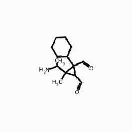 CC(N)C1(C)C([C]=O)C1([C]=O)C1CCCCC1